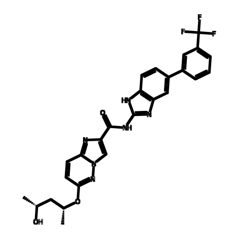 C[C@H](C[C@@H](C)O)Oc1ccc2nc(C(=O)Nc3nc4cc(-c5cccc(C(F)(F)F)c5)ccc4[nH]3)cn2n1